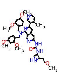 COCCC1NC=C1NC(=O)Nc1cc2cc(-c3cnccc3C)nc(N(Cc3ccc(OC)cc3OC)Cc3ccc(OC)cc3OC)c2cn1